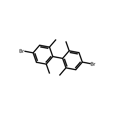 Cc1cc(Br)cc(C)c1-c1c(C)cc(Br)cc1C